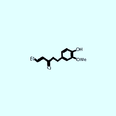 CC/C=C/C(=O)CCc1ccc(O)c(OC)c1